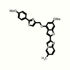 COc1ccc(-c2nc(COc3cc(OC)cc4oc(-c5cn6cc(C)ccc6n5)cc34)cs2)cc1